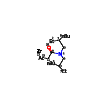 CCCCC(CC)CN(CC(CC)CCCC)C(=O)CC(C)=O.[Zr]